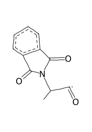 CC([C]=O)N1C(=O)c2ccccc2C1=O